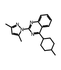 Cc1cc(C)n(-c2nc([C]3CCC(C)CC3)c3ccccc3n2)n1